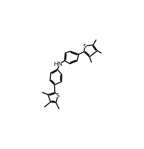 Cc1sc(-c2ccc(Nc3ccc(-c4sc(C)c(C)c4C)cc3)cc2)c(C)c1C